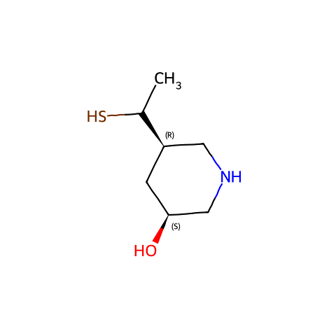 CC(S)[C@H]1CNC[C@@H](O)C1